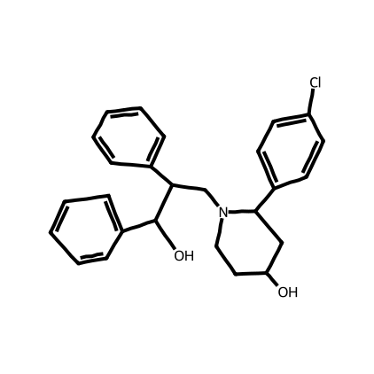 OC1CCN(CC(c2ccccc2)C(O)c2ccccc2)C(c2ccc(Cl)cc2)C1